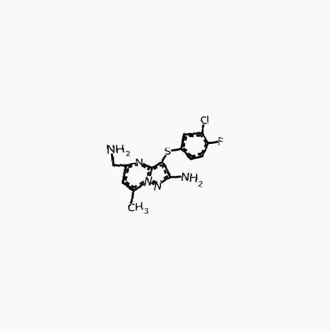 Cc1cc(CN)nc2c(Sc3ccc(F)c(Cl)c3)c(N)nn12